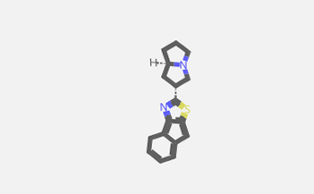 C1=CCC2=c3nc([C@@H]4C[C@H]5CCCN5C4)sc3=CC2=C1